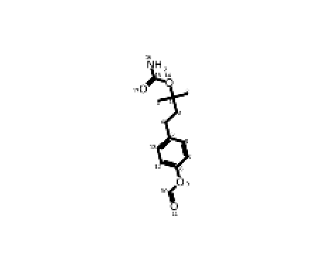 CC(C)(CCc1ccc(OC=O)cc1)OC(N)=O